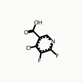 O=C(O)c1cnc(F)c(F)c1Cl